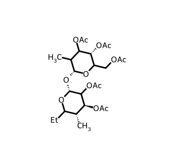 CCC1O[C@H](O[C@H]2OC(COC(C)=O)[C@@H](OC(C)=O)C(OC(C)=O)C2C)C(OC(C)=O)[C@@H](OC(C)=O)[C@@H]1C